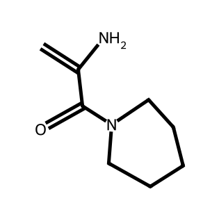 C=C(N)C(=O)N1CCCCC1